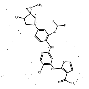 C[C@@H]1CN(c2ccc(Nc3ncc(Cl)c(Nc4sccc4C(N)=O)n3)c(OC(F)F)c2)C[C@]12CN2C